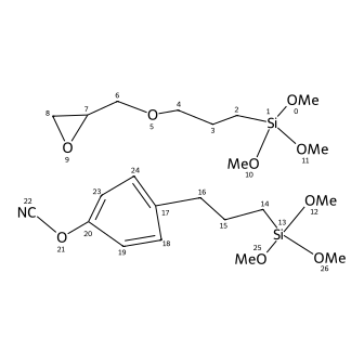 CO[Si](CCCOCC1CO1)(OC)OC.CO[Si](CCCc1ccc(OC#N)cc1)(OC)OC